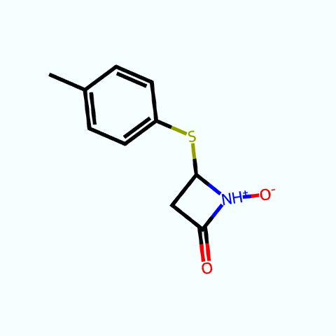 Cc1ccc(SC2CC(=O)[NH+]2[O-])cc1